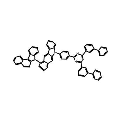 c1ccc(-c2cccc(-c3nc(-c4ccc(-n5c6ccccc6c6cc7c(-n8c9ccccc9c9c%10ccccc%10ccc98)cccc7cc65)cc4)nc(-c4cccc(-c5ccccc5)c4)n3)c2)cc1